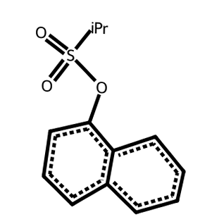 CC(C)S(=O)(=O)Oc1cccc2ccccc12